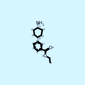 CCOC(=O)c1cccc([C@H]2CC[C@@H](N)CC2)c1